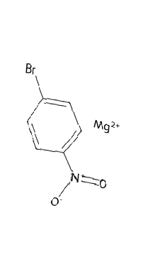 O=[N+]([O-])c1ccc(Br)cc1.[Mg+2]